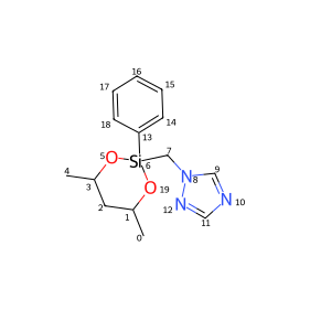 CC1CC(C)O[Si](Cn2cncn2)(c2ccccc2)O1